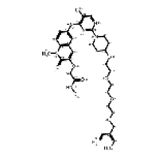 C=C/C(=C\C)COCCOCCOCCOC1CCN(c2ncc(Cl)c(Nc3ccc4c(c3)cc(OCC(=O)NC)c(=O)n4C)n2)CC1